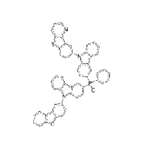 O=P(c1ccccc1)(c1ccc2c(c1)c1ccccc1n2-c1ccc2oc3ccccc3c2c1)c1ccc2c(c1)c1ccccc1n2-c1ccc2sc3cccnc3c2c1